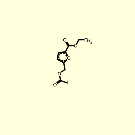 CCOC(=O)c1ccc(COC(=O)I)o1